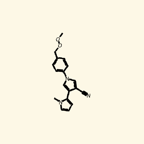 COOCc1ccc(-n2cc(C#N)c(-c3cccn3C)c2)cc1